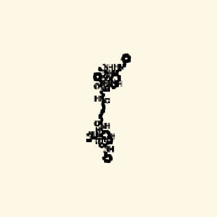 CC[C@H](NC)C(=O)N[C@@H]1C(=O)N2[C@@H](CC[C@@H]1CNC(=O)CCC#CCCC(=O)NCCNC(=O)[C@@H](NC(=O)[C@@H]1CC[C@@H]3CC[C@H](CCNCc4ccccc4)[C@H](NC(=O)[C@H](CC)NC)C(=O)N31)c1ccccc1)CC[C@H]2C(=O)NCc1ccccc1